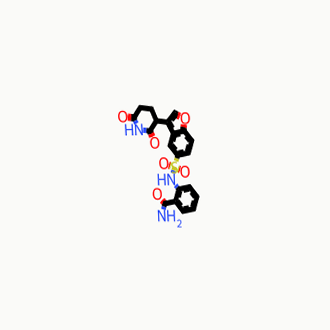 NC(=O)c1ccccc1NS(=O)(=O)c1ccc2occ(C3CCC(=O)NC3=O)c2c1